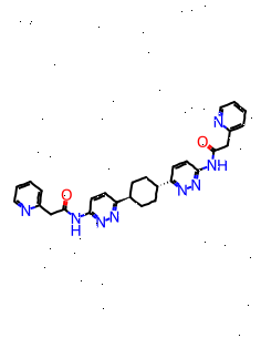 O=C(Cc1ccccn1)Nc1ccc([C@H]2CC[C@H](c3ccc(NC(=O)Cc4ccccn4)nn3)CC2)nn1